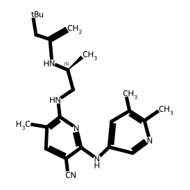 C=C(CC(C)(C)C)N[C@@H](C)CNc1nc(Nc2cnc(C)c(C)c2)c(C#N)cc1C